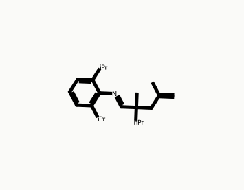 C=C(C)CC(C)(C=Nc1c(C(C)C)cccc1C(C)C)CCC